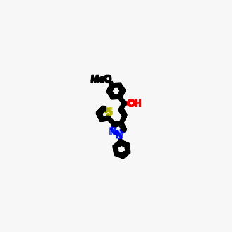 COc1ccc(C(O)C=Cc2cn(-c3ccccc3)nc2-c2cccs2)cc1